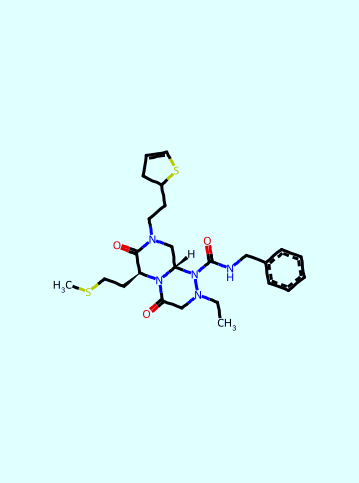 CCN1CC(=O)N2[C@@H](CCSC)C(=O)N(CCC3CC=CS3)C[C@@H]2N1C(=O)NCc1ccccc1